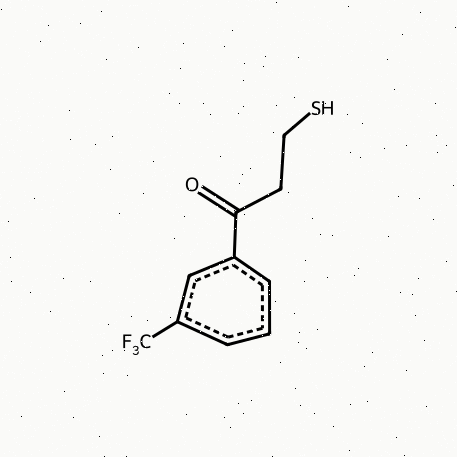 O=C(CCS)c1cccc(C(F)(F)F)c1